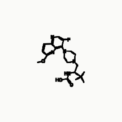 COc1ccc2ncc(F)c(N3CCN(CC(NC(=O)O)C(C)(C)C)CC3)c2n1